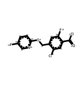 O=C(Cl)c1cc(Cl)c(COc2ccc(F)cn2)cc1F